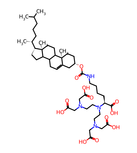 CC(C)CCC[C@@H](C)[C@H]1CCC2C3CC=C4C[C@@H](OC(=O)NCCCC[C@@H](C(=O)O)N(CCN(CC(=O)O)CC(=O)O)CCN(CC(=O)O)CC(=O)O)CC[C@]4(C)C3CC[C@@]21C